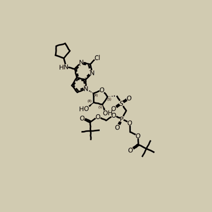 CC(C)(C)C(=O)OCOP(=O)(CS(=O)(=O)C[C@H]1O[C@@H](n2ccc3c(NC4CCCC4)nc(Cl)nc32)[C@H](O)[C@@H]1O)OCOC(=O)C(C)(C)C